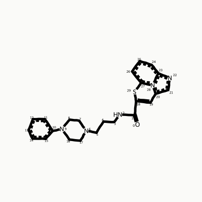 O=C(NCCCN1CCN(c2ccccc2)CC1)C1=Cc2cnc3cccc(n23)S1